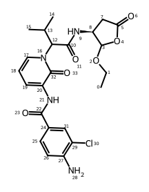 CCOC1OC(=O)C[C@@H]1NC(=O)C(C(C)C)n1cccc(NC(=O)c2ccc(N)c(Cl)c2)c1=O